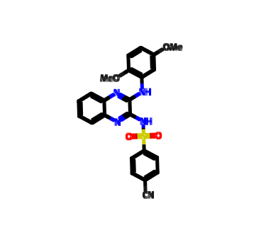 COc1ccc(OC)c(Nc2nc3ccccc3nc2NS(=O)(=O)c2ccc(C#N)cc2)c1